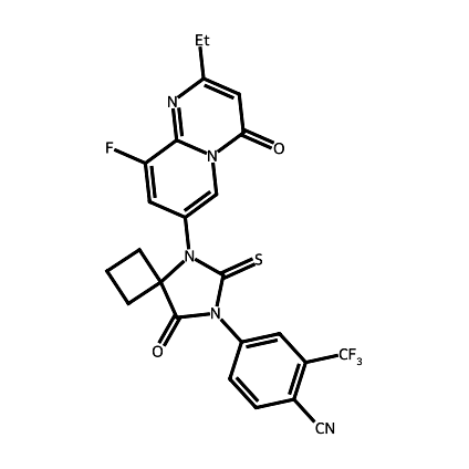 CCc1cc(=O)n2cc(N3C(=S)N(c4ccc(C#N)c(C(F)(F)F)c4)C(=O)C34CCC4)cc(F)c2n1